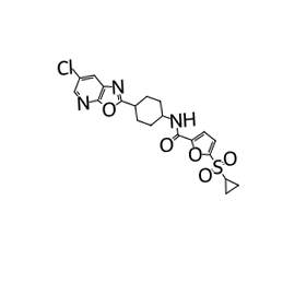 O=C(NC1CCC(c2nc3cc(Cl)cnc3o2)CC1)c1ccc(S(=O)(=O)C2CC2)o1